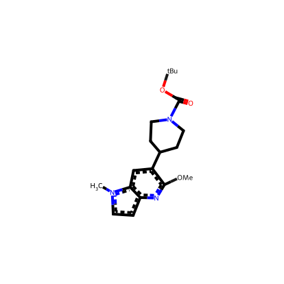 COc1nc2ccn(C)c2cc1C1CCN(C(=O)OC(C)(C)C)CC1